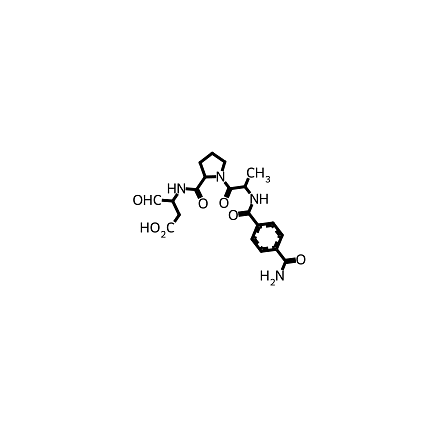 CC(NC(=O)c1ccc(C(N)=O)cc1)C(=O)N1CCCC1C(=O)NC(C=O)CC(=O)O